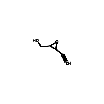 C#CC1OC1CO